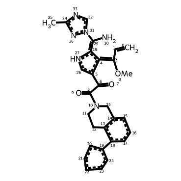 C=C/C(OC)=c1/c(C(=O)C(=O)N2CCc3c(cccc3-c3ccccc3)C2)c[nH]/c1=C(/N)n1cnc(C)n1